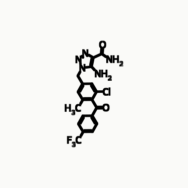 Cc1cc(Cn2nnc(C(N)=O)c2N)cc(Cl)c1C(=O)c1ccc(C(F)(F)F)cc1